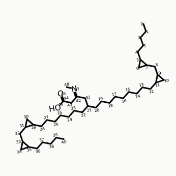 CCCCCC1CC1CC1CC1CCCCCCCCCC(CCCCCCCC1CC1CC1CC1CCCCC)C/C(CC(=O)O)=N/C